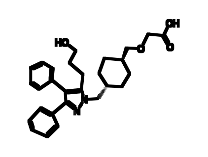 O=C(O)COC[C@H]1CC[C@H](Cn2nc(-c3ccccc3)c(-c3ccccc3)c2CCCO)CC1